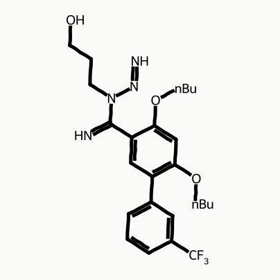 CCCCOc1cc(OCCCC)c(-c2cccc(C(F)(F)F)c2)cc1C(=N)N(CCCO)N=N